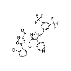 O=Cc1noc(-c2ccccc2Cl)c1C(=O)c1nnn(Cc2cc(C(F)(F)F)cc(C(F)(F)F)c2)c1-c1ccncc1